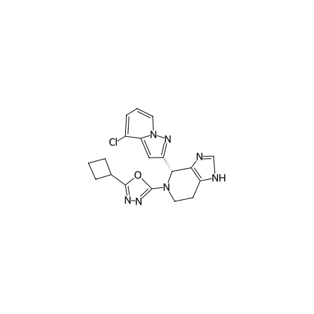 Clc1cccn2nc([C@@H]3c4nc[nH]c4CCN3c3nnc(C4CCC4)o3)cc12